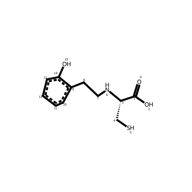 O=C(O)[C@H](CS)NCCc1ccccc1O